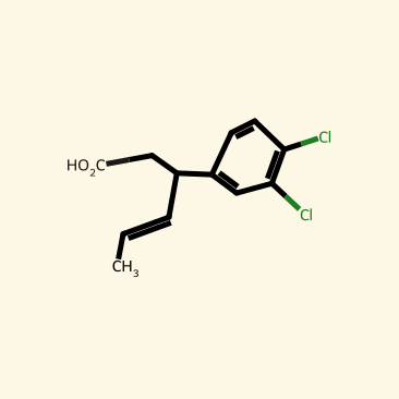 C/C=C/C(CC(=O)O)c1ccc(Cl)c(Cl)c1